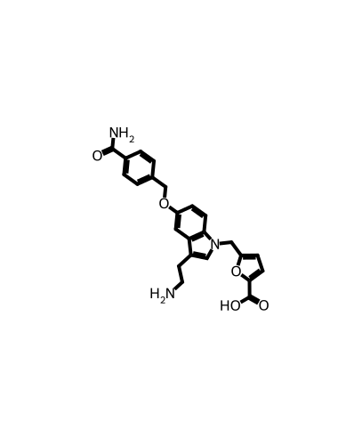 NCCc1cn(Cc2ccc(C(=O)O)o2)c2ccc(OCc3ccc(C(N)=O)cc3)cc12